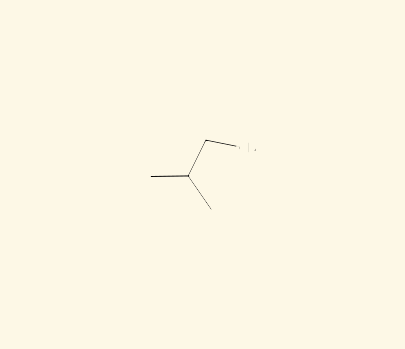 CC(C)[CH]Cl